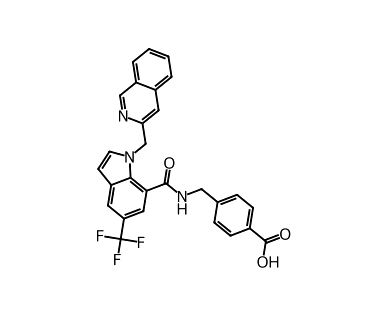 O=C(O)c1ccc(CNC(=O)c2cc(C(F)(F)F)cc3ccn(Cc4cc5ccccc5cn4)c23)cc1